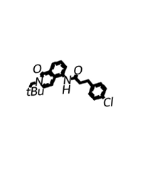 CC(C)(C)Cn1ccc2c(NC(=O)CCc3ccc(Cl)cc3)cccc2c1=O